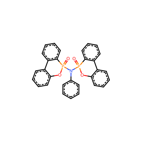 O=P1(N(c2ccccc2)P2(=O)Oc3ccccc3-c3ccccc32)Oc2ccccc2-c2ccccc21